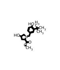 COC(=O)C1CC(O)CN1Cc1ccc(O)c(C(C)(C)C)c1